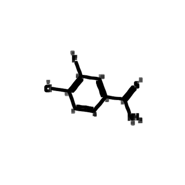 NC(=S)c1ccc(Cl)c(F)c1